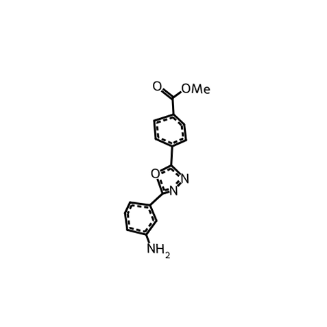 COC(=O)c1ccc(-c2nnc(-c3cccc(N)c3)o2)cc1